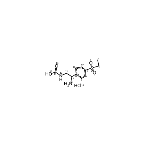 CCS(=O)(=O)c1ccc(C(N)CNC(=O)O)cc1.Cl